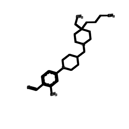 CCCCC1(CC)CCN(CC2CCN(c3ccc(C=O)c(C)c3)CC2)CC1